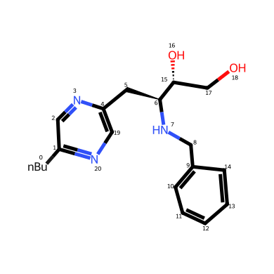 CCCCc1cnc(C[C@H](NCc2ccccc2)[C@H](O)CO)cn1